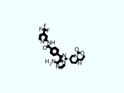 Nc1nccn2c([C@H]3CC[C@@H]4CCOC(=O)N4C3)nc(-c3ccc(C(=O)Nc4cc(C(F)(F)F)ccn4)cc3)c12